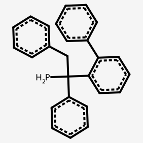 PC(Cc1ccccc1)(c1ccccc1)c1ccccc1-c1ccccc1